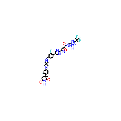 CC1(c2ccc(N3CC4(CN(Cc5ccc(-c6cnc(-c7cc(C(=O)NCc8nc(C(C)(C)C(F)(F)F)n[nH]8)on7)nc6)c(F)c5)C4)C3)cc2F)CCC(=O)NC1=O